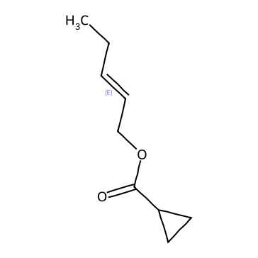 CC/C=C/COC(=O)C1CC1